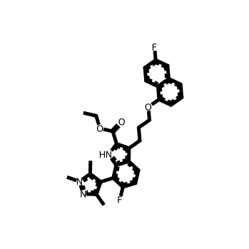 CCOC(=O)c1[nH]c2c(-c3c(C)nn(C)c3C)c(F)ccc2c1CCCOc1cccc2cc(F)ccc12